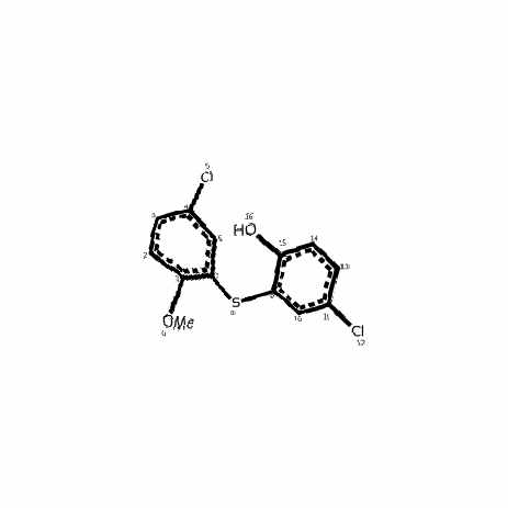 COc1ccc(Cl)cc1Sc1cc(Cl)ccc1O